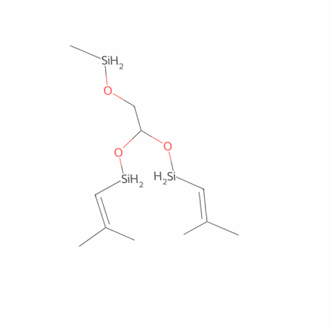 C[SiH2]OCC(O[SiH2]C=C(C)C)O[SiH2]C=C(C)C